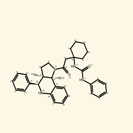 O=C(Nc1ccccc1)NC1(CC(=O)N2CC[C@@H]3[C@H](c4ccccc4)Nc4ccccc4[C@@H]32)CCCCC1